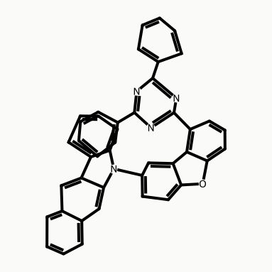 c1ccc(-c2nc(-c3ccccc3)nc(-c3cccc4oc5ccc(-n6c7ccccc7c7cc8ccccc8cc76)cc5c34)n2)cc1